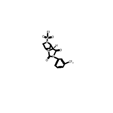 CCS(=O)(=O)N1CC2CC1[C@@H]1C(=O)N(c3cccc(C(F)(F)F)c3)C(=O)N21